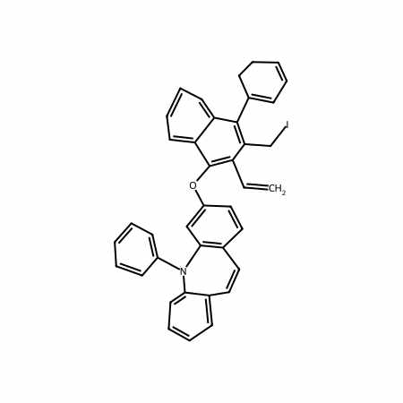 C=Cc1c(CI)c(C2=CC=CCC2)c2ccccc2c1Oc1ccc2c(c1)N(c1ccccc1)c1ccccc1C=C2